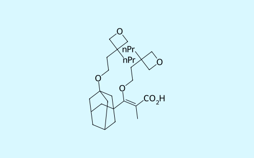 CCCC1(CCOC(=C(C)C(=O)O)C23CC4CC(CC(OCCC5(CCC)COC5)(C4)C2)C3)COC1